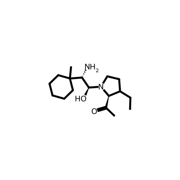 CCC1CCN([C@@H](O)[C@@H](N)C2(C)CCCCC2)[C@@H]1C(C)=O